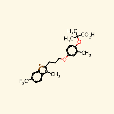 Cc1cc(OCCCc2sc3cc(C(F)(F)F)ccc3c2C)ccc1OC(C)(C)C(=O)O